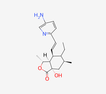 CCC1[C@@H](C)C[C@@]2(O)C(=O)O[C@H](C)[C@H]2[C@H]1/C=C/c1ccc(N)cn1